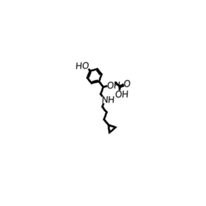 CC(=O)O.Oc1ccc(C(O)CNCCCC2CC2)cc1